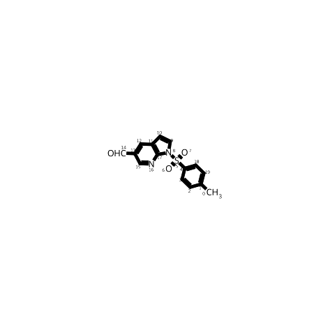 Cc1ccc(S(=O)(=O)n2ccc3cc(C=O)cnc32)cc1